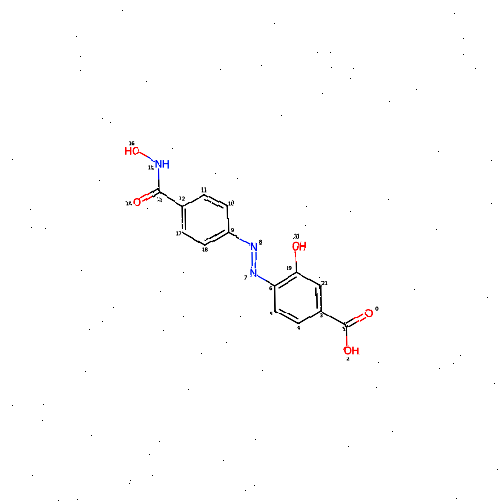 O=C(O)c1ccc(/N=N/c2ccc(C(=O)NO)cc2)c(O)c1